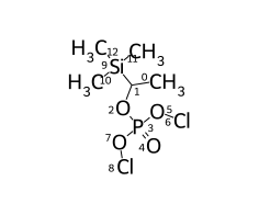 CC(OP(=O)(OCl)OCl)[Si](C)(C)C